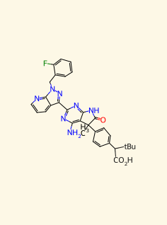 CC1(c2ccc(C(C(=O)O)C(C)(C)C)cc2)C(=O)Nc2nc(-c3nn(Cc4ccccc4F)c4ncccc34)nc(N)c21